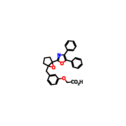 O=C(O)COc1cccc(CC23CCCC2(c2nc(-c4ccccc4)c(-c4ccccc4)o2)O3)c1